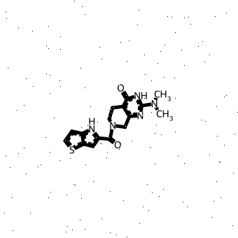 CN(C)c1nc2c(c(=O)[nH]1)CCN(C(=O)c1cc3sccc3[nH]1)C2